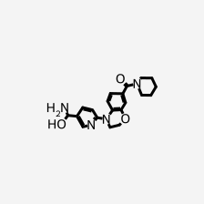 NC(O)c1ccc(N2CCOc3cc(C(=O)N4CCCCC4)ccc32)nc1